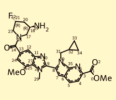 COC(=O)c1ccc2cc(-c3nc4cc(C(=O)N5C[C@H](N)C[C@@H](F)C5)cc(OC)c4n3C)n(CC3CC3)c2n1